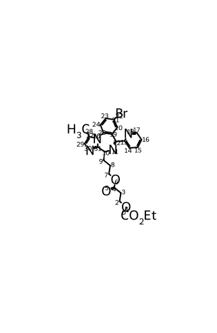 CCOC(=O)OCCC(=O)OCCC[C@@H]1N=C(c2ccccn2)c2cc(Br)ccc2-n2c(C)cnc21